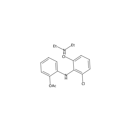 CC(=O)Oc1ccccc1Nc1c(Cl)cccc1Cl.CCNCC